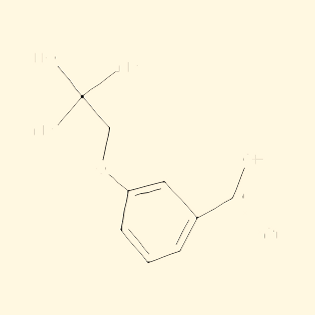 CCC[C@@H](O)c1cccc(OCC(O)(CCC)CCC)c1